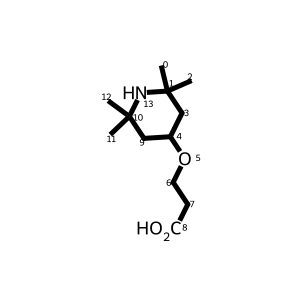 CC1(C)CC(OCCC(=O)O)CC(C)(C)N1